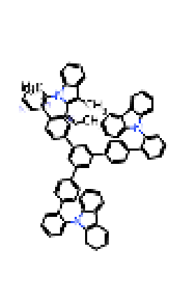 C/C=C\C(=C(/C)n1c(/C=C\C)c(C)c2ccccc21)c1ccc(-c2cc(-c3ccc(-c4ccccc4-n4c5c(c6ccccc64)C=CCC5)cc3)cc(-c3ccc(-c4ccccc4-n4c5ccccc5c5ccccc54)cc3)c2)cc1